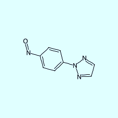 O=Nc1ccc(-n2nccn2)cc1